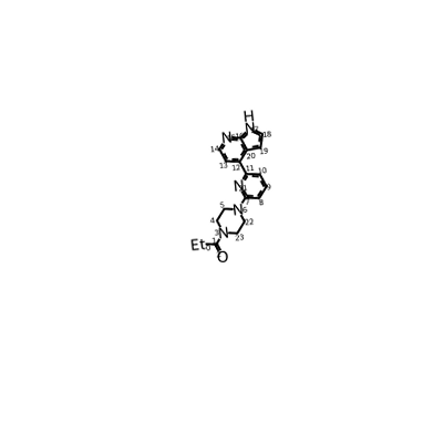 CCC(=O)N1CCN(c2cccc(-c3ccnc4[nH]ccc34)n2)CC1